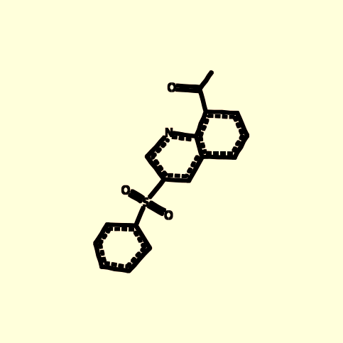 CC(=O)c1cccc2cc(S(=O)(=O)c3ccccc3)cnc12